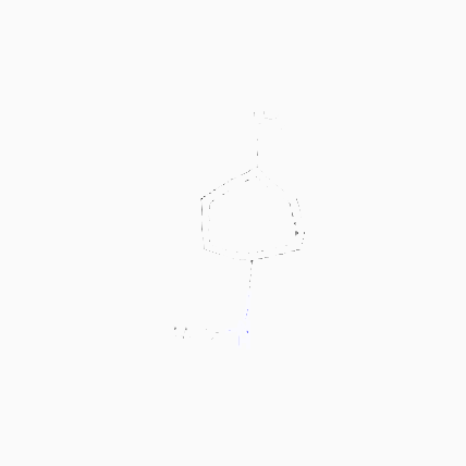 CSNc1ccc(C=O)cc1